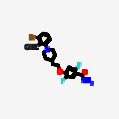 NC(=O)c1cc(F)c(OCCC2CCN(c3cccc(Br)c3C=O)CC2)cc1F